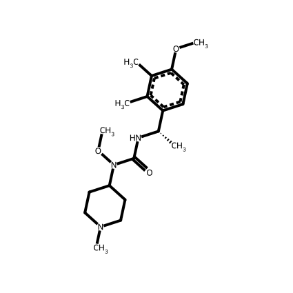 COc1ccc([C@H](C)NC(=O)N(OC)C2CCN(C)CC2)c(C)c1C